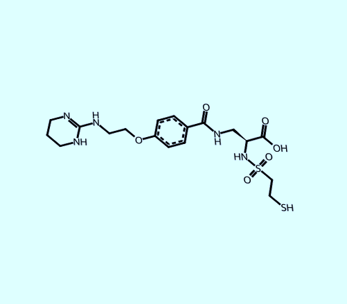 O=C(NC[C@H](NS(=O)(=O)CCS)C(=O)O)c1ccc(OCCNC2=NCCCN2)cc1